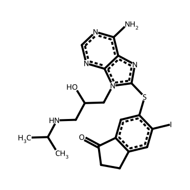 CC(C)NCC(O)Cn1c(Sc2cc3c(cc2I)CCC3=O)nc2c(N)ncnc21